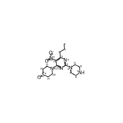 CCCc1nc(N2CCNCC2)nc(N2CC[S+]([O-])CC2)c1[N+](=O)[O-]